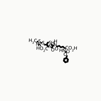 Cc1nnc(SCC2=C(C(=O)O)N3C(=O)[C@@H](NC(=O)CCCC(NC(=O)OCc4ccccc4)C(=O)O)[C@@H]3SC2)s1